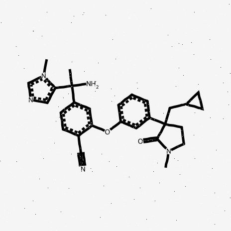 CN1CCC(CC2CC2)(c2cccc(Oc3cc(C(C)(N)c4cncn4C)ccc3C#N)c2)C1=O